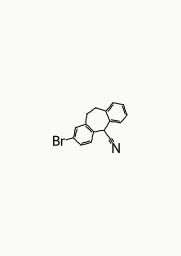 N#CC1c2ccccc2CCc2cc(Br)ccc21